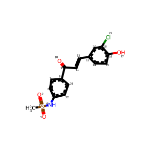 CS(=O)(=O)Nc1ccc(C(=O)C=Cc2ccc(O)c(Cl)c2)cc1